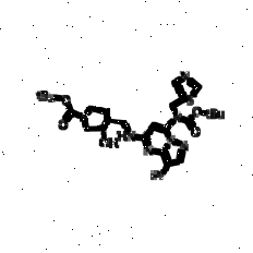 CC(C)c1cnn2c(N(Cc3cncs3)C(=O)OC(C)(C)C)cc(NC[C@@H]3CCN(C(=O)OC(C)(C)C)C[C@@H]3O)nc12